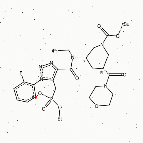 CCOP(=O)(Cc1c(C(=O)N(CC(C)C)[C@H]2C[C@@H](C(=O)N3CCOCC3)CN(C(=O)OC(C)(C)C)C2)nnn1-c1ccccc1F)OCC